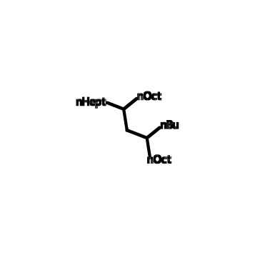 CCCCCCCCC(CCCC)CC(CCCCCCC)CCCCCCCC